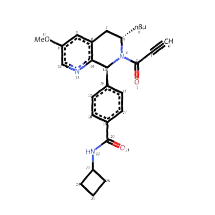 C#CC(=O)N1[C@@H](CCCC)Cc2cc(OC)cnc2[C@@H]1c1ccc(C(=O)NC2CCC2)cc1